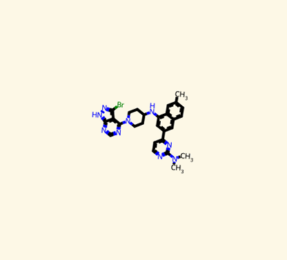 Cc1ccc2cc(-c3ccnc(N(C)C)n3)cc(NC3CCN(c4ncnc5[nH]nc(Br)c45)CC3)c2c1